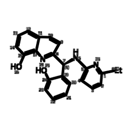 CCc1cccc(N[C@H](c2ccc3cccc(O)c3n2)c2ccccc2O)n1